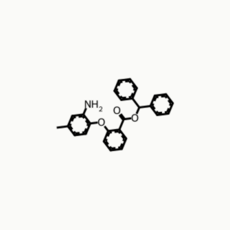 Cc1ccc(Oc2ccccc2C(=O)OC(c2ccccc2)c2ccccc2)c(N)c1